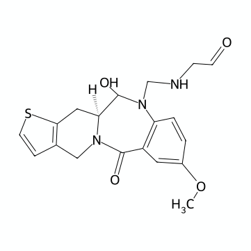 COc1ccc2c(c1)C(=O)N1Cc3ccsc3C[C@H]1C(O)N2CNCC=O